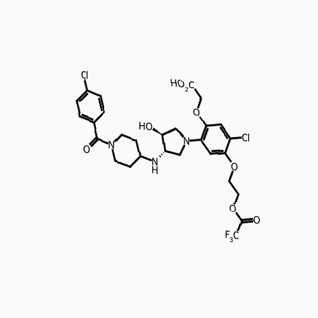 O=C(O)COc1cc(Cl)c(OCCOC(=O)C(F)(F)F)cc1N1C[C@H](NC2CCN(C(=O)c3ccc(Cl)cc3)CC2)[C@@H](O)C1